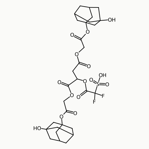 O=C(CC(OC(=O)C(F)(F)S(=O)(=O)O)C(=O)OCC(=O)OC12CC3CC(CC(O)(C3)C1)C2)OCC(=O)OC12CC3CC(CC(O)(C3)C1)C2